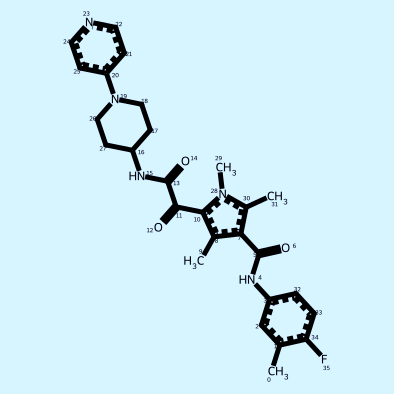 Cc1cc(NC(=O)c2c(C)c(C(=O)C(=O)NC3CCN(c4ccncc4)CC3)n(C)c2C)ccc1F